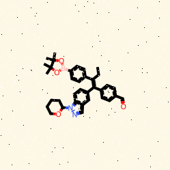 CCC(=C(c1ccc(C=O)cc1)c1ccc2c(cnn2C2CCCCO2)c1)c1ccc(B2OC(C)(C)C(C)(C)O2)cc1